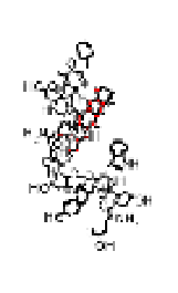 CCCC[C@@H](C(=O)N1C[C@H](O)C[C@@H]1C(=O)N[C@@H](CC(=O)O)C(=O)N[C@H](C(=O)N(C)[C@H](C=O)Cc1ccccc1)C(C)C)N(C)C(=O)[C@H](Cc1ccccc1)N(C)C(=O)[C@H](Cc1cc(F)c(F)c(F)c1)NC(=O)CSC[C@H](NC(=O)[C@H](CC(=O)O)NC(=O)[C@H](Cc1ccc(O)cc1)NC(=O)[C@H](Cc1c[nH]c2ccccc12)NC(=O)[C@H]1C[C@@H](O)CN1C(=O)[C@@H](N)CCC(=O)O)C(=O)NCC(N)=O